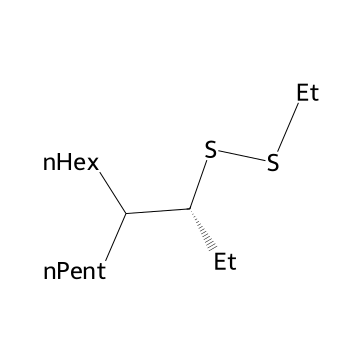 CCCCCCC(CCCCC)[C@@H](CC)SSCC